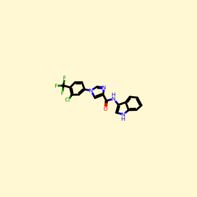 O=C(Nc1c[nH]c2ccccc12)c1cn(-c2ccc(C(F)(F)F)c(Cl)c2)cn1